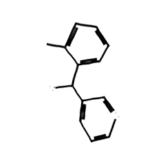 Cc1ccccc1C(N)c1cccnc1